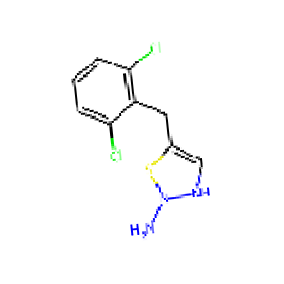 NN1NC=C(Cc2c(Cl)cccc2Cl)S1